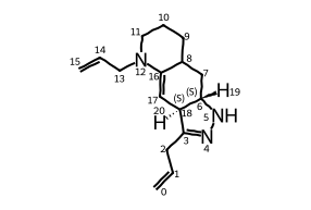 C=CCC1=NN[C@H]2CC3CCCN(CC=C)C3=C[C@H]12